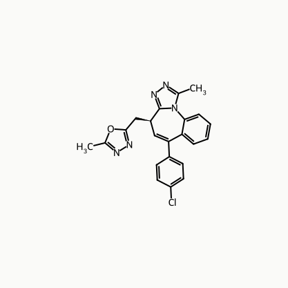 Cc1nnc(C[C@@H]2C=C(c3ccc(Cl)cc3)c3ccccc3-n3c(C)nnc32)o1